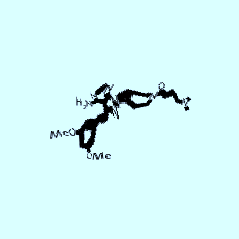 COc1cc(C#Cc2nn(C3CCN(C(=O)/C=C/CN(C)C)CC3)c3ncnc(N)c23)cc(OC)c1